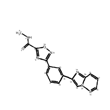 CNC(=O)c1nc(-c2cccc(-c3cn4ncccc4n3)c2)no1